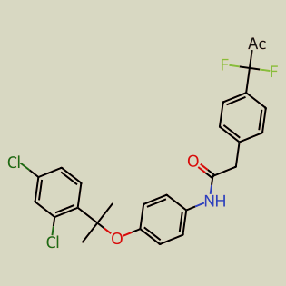 CC(=O)C(F)(F)c1ccc(CC(=O)Nc2ccc(OC(C)(C)c3ccc(Cl)cc3Cl)cc2)cc1